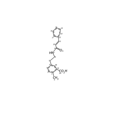 Cc1ccc(CCNC(=O)C=Cc2ccccc2)cc1C(=O)O